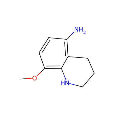 COc1ccc(N)c2c1NCCC2